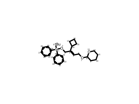 CC(C)(C)[Si](OC/C(=C/COC1CCCCO1)C1CCC1)(c1ccccc1)c1ccccc1